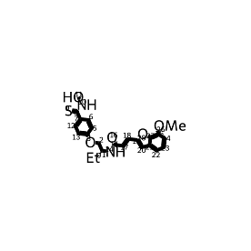 CC[C@H](COc1ccc(C(=S)NO)cc1)NC(=O)/C=C/c1cc2cccc(OC)c2o1